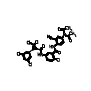 CC(=O)N(C(C)=O)c1ccc(NC(=O)c2cc(NC(=O)[C@H]3[C@H](c4cc(Cl)cc(Cl)c4)C3(Cl)Cl)ccc2Cl)c(C#N)c1